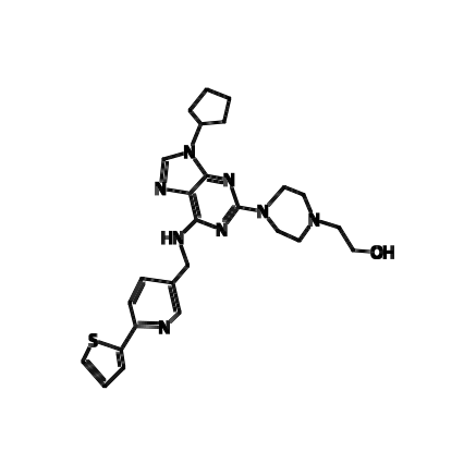 OCCN1CCN(c2nc(NCc3ccc(-c4cccs4)nc3)c3ncn(C4CCCC4)c3n2)CC1